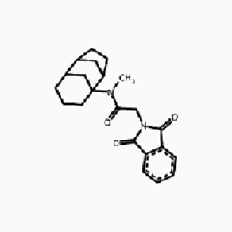 CN(C(=O)CN1C(=O)c2ccccc2C1=O)C12CCCC(C1)C1CCC2C1